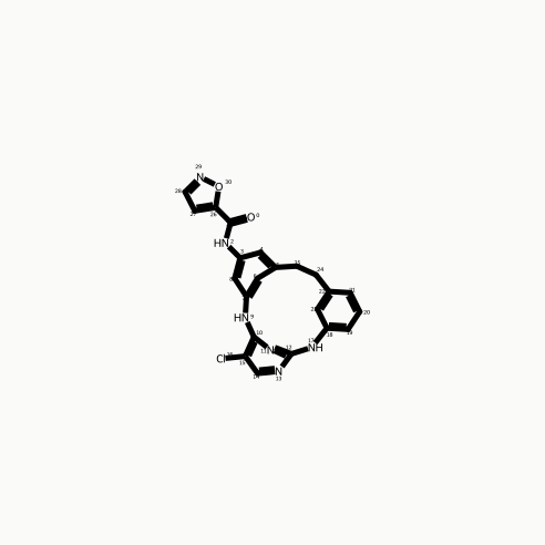 O=C(Nc1cc2cc(c1)Nc1nc(ncc1Cl)Nc1cccc(c1)CC2)c1ccno1